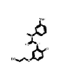 CSc1cccc(N(C)C(=N)Nc2cc(SCCO)ccc2Cl)c1